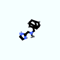 CC(C)N(Cc1ncc[nH]1)CC12CC3CC(CC(C3)C1)C2